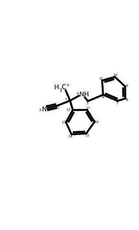 CC(C#N)(NCc1ccccc1)c1ccccc1